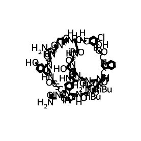 CCCC[C@H]1C(=O)N(C)[C@@H](CCCC)C(=O)N[C@@H](CC(C)C)C(=O)N[C@H](C(=O)NCC(N)=O)CSCC(=O)N[C@@H](Cc2ccc(O)cc2)C(=O)N(C)[C@@H](C)C(=O)N[C@@H](CC(N)=O)C(=O)N2CCC[C@H]2C(=O)N[C@H]2CNCc3ccc(Cl)cc3B(O)OC(=O)Cn3cc(c4ccccc43)C[C@H](NC(=O)[C@H](CCN)NC(=O)[C@H](Cc3c[nH]c4ccccc34)NC(=O)[C@@H]3C[C@@H](O)CN3C(=O)[C@H](CC(C)C)NC2=O)C(=O)N1C